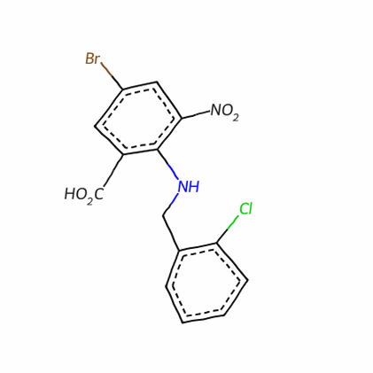 O=C(O)c1cc(Br)cc([N+](=O)[O-])c1NCc1ccccc1Cl